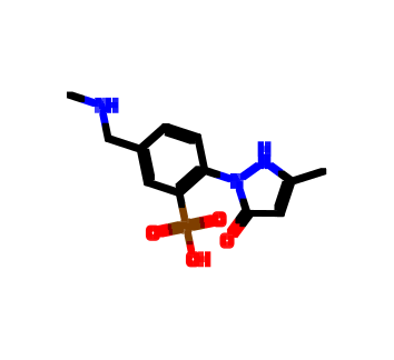 CNCc1ccc(-n2[nH]c(C)cc2=O)c(S(=O)(=O)O)c1